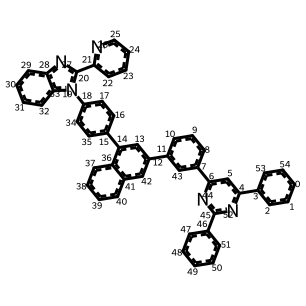 c1ccc(-c2cc(-c3cccc(-c4cc(-c5ccc(-n6c(-c7ccccn7)nc7ccccc76)cc5)c5ccccc5c4)c3)nc(-c3ccccc3)n2)cc1